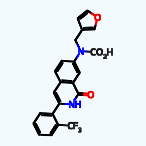 O=C(O)N(Cc1ccoc1)c1ccc2cc(-c3ccccc3C(F)(F)F)[nH]c(=O)c2c1